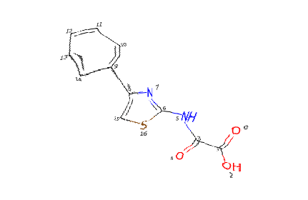 O=C(O)C(=O)Nc1nc(-c2ccccc2)cs1